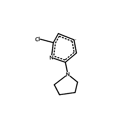 Clc1c[c]cc(N2CCCC2)n1